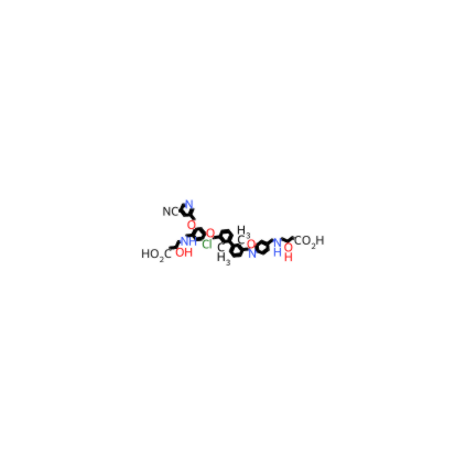 Cc1c(COc2cc(OCc3cncc(C#N)c3)c(CNC[C@@H](O)CC(=O)O)cc2Cl)cccc1-c1cccc(-c2nc3ccc(CNC[C@@H](O)CC(=O)O)cc3o2)c1C